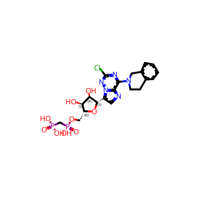 O=P(O)(O)CP(=O)(O)OC[C@H]1O[C@@H](c2cnc3c(N4CCc5ccccc5C4)nc(Cl)nn23)[C@H](O)[C@@H]1O